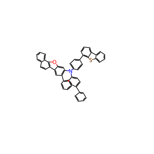 c1ccc(-c2ccc(N(c3ccc(-c4cccc5c4sc4ccccc45)cc3)c3cc4oc5c6ccccc6ccc5c4cc3-c3ccccc3)cc2)cc1